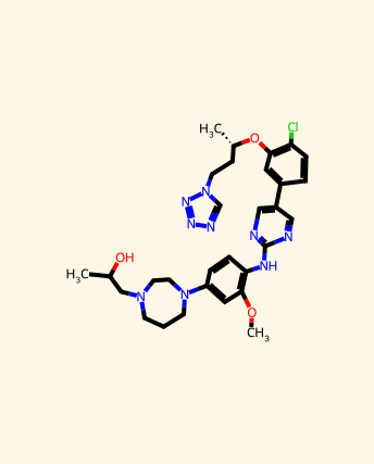 COc1cc(N2CCCN(CC(C)O)CC2)ccc1Nc1ncc(-c2ccc(Cl)c(O[C@@H](C)CCn3cnnn3)c2)cn1